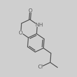 CC(Cl)Cc1ccc2c(c1)NC(=O)CO2